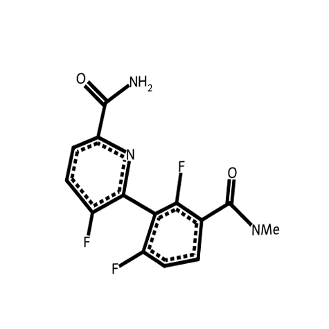 CNC(=O)c1ccc(F)c(-c2nc(C(N)=O)ccc2F)c1F